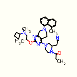 C=CC(=O)N1CCN(c2nc(O[C@H](C)CN(C)C3CCC3)nc3c2CCN(c2cccc4cccc(C)c24)C3)CC1CC#N